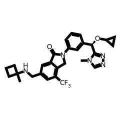 Cn1cnnc1[C@H](OC1CC1)c1cccc(N2Cc3c(cc(CNC4(C)CCC4)cc3C(F)(F)F)C2=O)c1